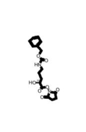 O=C(NCCC[C@H](O)C(=O)ON1C(=O)CCC1=O)OCc1ccccc1